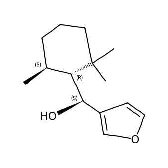 C[C@H]1CCCC(C)(C)[C@@H]1[C@H](O)c1ccoc1